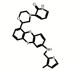 Cc1ccsc1CNc1ccc2c(c1)Sc1cccc(C3CN(c4ccc[nH]c4=O)CCO3)c1S2